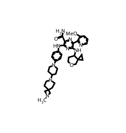 COc1cccnc1-c1nc(C(N)=O)c(Nc2ccc(N3CCC(N4CCC5(CC4)CN(C)C5)CC3)cc2)nc1NC1CCOCC12CC2